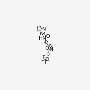 O=C(NC12CC(c3nnc([C@H]4C[C@@H](OC(F)(F)F)C4)o3)(C1)C2)c1cnc2ccccc2n1